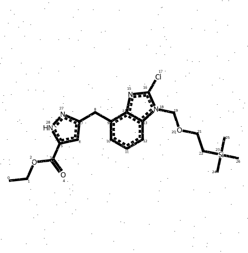 CCOC(=O)c1cc(Cc2cccc3c2nc(Cl)n3COCC[Si](C)(C)C)n[nH]1